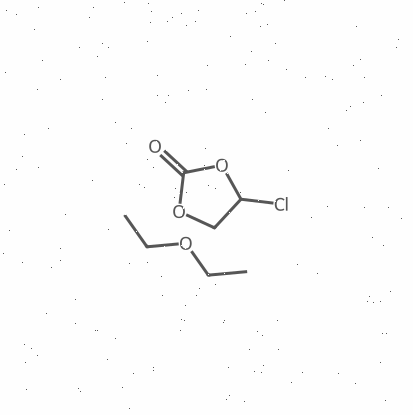 CCOCC.O=C1OCC(Cl)O1